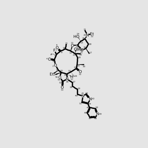 CC[C@H]1OC(=O)[C@@](C)(F)C(=O)C(C)[C@@H](O[C@@H]2O[C@H](C)C[C@H](N(C)CC)[C@H]2O)[C@](C)(OC)C[C@@H](C)C(=O)[C@H](C)[C@H]2N(CCCCn3cnc(-c4cccnc4)c3)C(=O)O[C@]12C